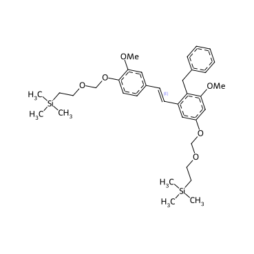 COc1cc(/C=C/c2cc(OCOCC[Si](C)(C)C)cc(OC)c2Cc2ccccc2)ccc1OCOCC[Si](C)(C)C